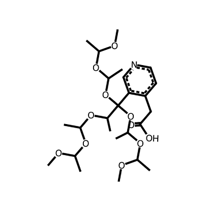 COC(C)OC(C)OC(C)C(OC(C)OC(C)OC)(OC(C)OC(C)OC)c1cnccc1CC(=O)O